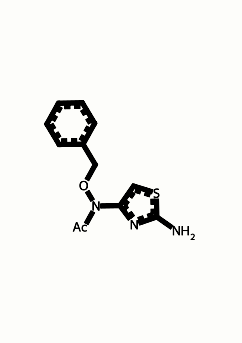 CC(=O)N(OCc1ccccc1)c1csc(N)n1